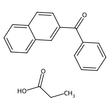 CCC(=O)O.O=C(c1ccccc1)c1ccc2ccccc2c1